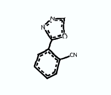 N#Cc1ccccc1-c1nnco1